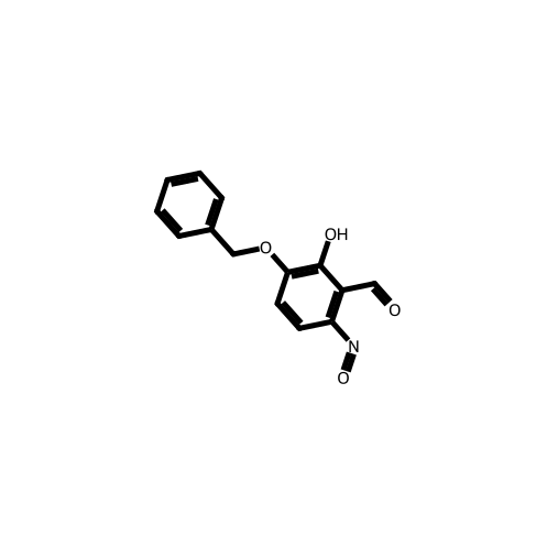 O=Cc1c(N=O)ccc(OCc2ccccc2)c1O